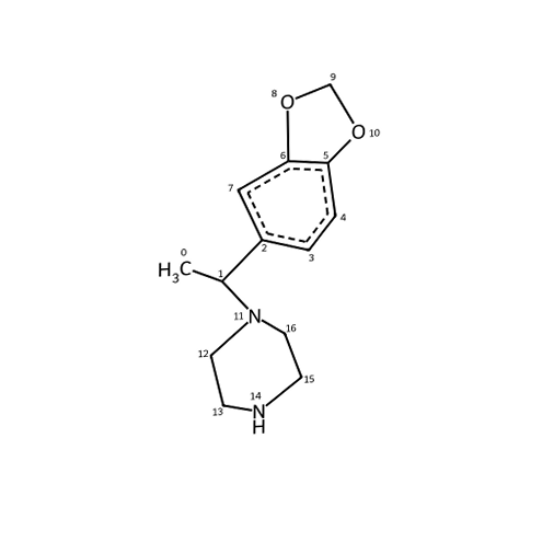 CC(c1ccc2c(c1)OCO2)N1CCNCC1